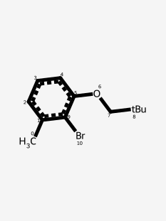 Cc1cccc(OCC(C)(C)C)c1Br